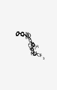 O=C(O)C[C@H]1CN(c2nccc(C(F)(F)F)n2)C[C@H]1c1cccc(OCc2nc(-c3ccc(-c4ccccc4)cc3)no2)c1